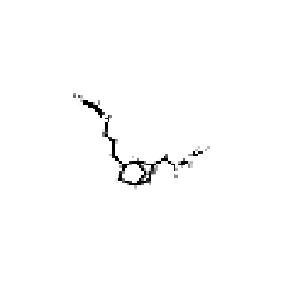 O=C=NCCCC1CC2CC(CN=C=O)C1C2